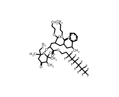 CCCCOC(=O)C(CC(CC(ON1C(C)(CC)CC(=O)C(C)C1(C)C)C(=O)OCCC(F)(F)C(F)(F)C(F)(F)C(F)(F)C(F)(F)C(F)(F)F)C(=O)OCCC)CC(C)c1ccccc1